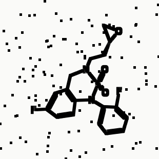 O=S1(=O)N(CC[C@H]2CO2)Cc2cc(F)ccc2N1c1ccccc1F